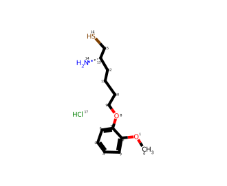 COc1ccccc1OCCCC[C@H](N)CS.Cl